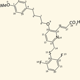 COc1ccc(CCCCOc2ccc(CSc3c(F)cccc3F)nc2C=CC(=O)O)cc1